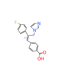 O=C(O)c1ccc(/C=C(\Cn2ccnc2)c2ccc(F)cc2)cc1